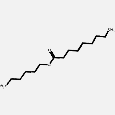 [CH2]CCCCCOC(=O)CCCCCCCC